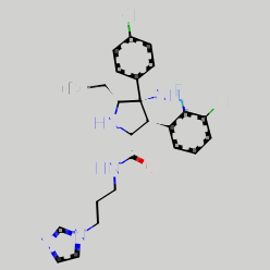 CC(C)(C)C[C@@H]1N[C@@H](C(=O)NCCCn2ccnc2)[C@H](c2cccc(Cl)c2F)[C@@]1(N)c1ccc(Cl)cc1